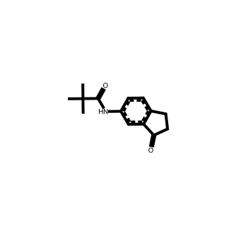 CC(C)(C)C(=O)Nc1ccc2c(c1)C(=O)CC2